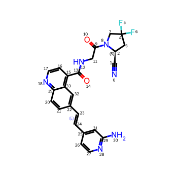 N#C[C@@H]1CC(F)(F)CN1C(=O)CNC(=O)c1ccnc2ccc(/C=C/c3ccnc(N)c3)cc12